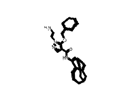 NCCn1ncc(C(=O)NC2C3CC4CCCC2C(C4)C3)c1OCC1CCCCC1